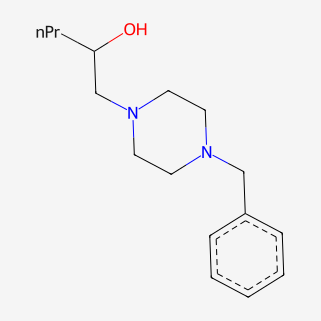 CCCC(O)CN1CCN(Cc2ccccc2)CC1